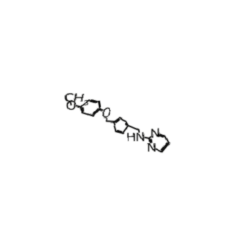 COc1ccc(OCc2ccc(CNc3ncccn3)cc2)cc1